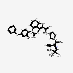 Cc1cc(Oc2ccccc2)ccc1N1C(=O)Nc2c(C(=O)N[C@@H]3CCN(C(=O)/C(C#N)=C/C(C)(C)C)C3)sc3nccc1c23